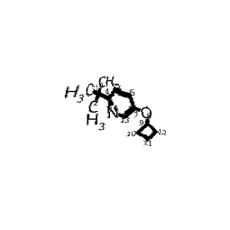 CC(C)(C)c1ccc(OC2CCC2)cn1